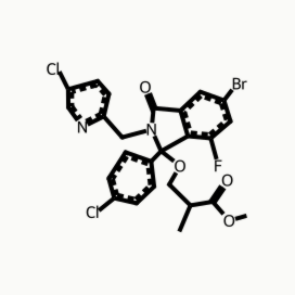 COC(=O)C(C)COC1(c2ccc(Cl)cc2)c2c(F)cc(Br)cc2C(=O)N1Cc1ccc(Cl)cn1